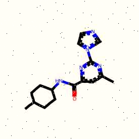 Cc1cc(C(=O)NC2CCC(C)CC2)nc(-n2ccnc2)n1